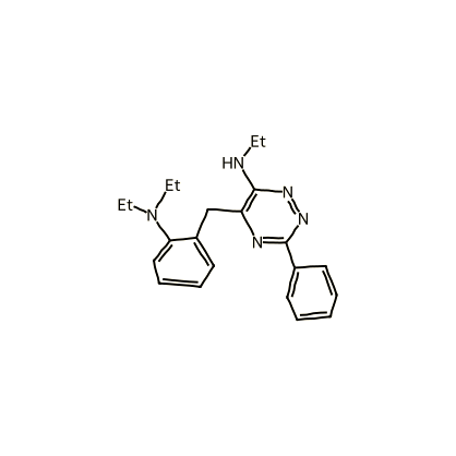 CCNc1nnc(-c2ccccc2)nc1Cc1ccccc1N(CC)CC